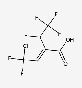 O=C(O)C(=CC(F)(F)Cl)C(F)C(F)(F)F